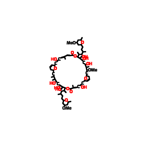 COC1CC(C)OC(CCC(C)C(O)C(C)C2OC(=O)/C=C/C(C)=C/CC(O)CC3C=CCC(CC(C)C(C)C(O)CC(O)C(C)C(C(C)C(O)C(C)CCC4CC(OC)CC(C)O4)OC(=O)/C(C)=C/CC(O)CC4C=CCC(CC(OC)C(C)C(O)CC(O)C2C)O4)O3)C1